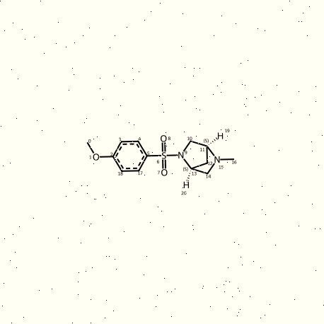 COc1ccc(S(=O)(=O)N2C[C@@H]3C[C@H]2CN3C)cc1